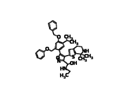 CCNC(O)c1noc(-c2cc(C(C)C)c(OCc3ccccc3)cc2COc2ccccc2)c1-c1cc2c(s1)C(C)(C)NCC2